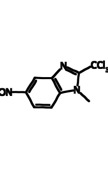 Cn1c(C(Cl)(Cl)Cl)nc2cc(N=O)ccc21